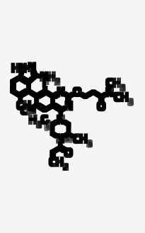 C=CC(=O)N1C[C@H](C)N(c2nc(OCCC(=O)N(C)C)nc3c(F)c(-c4c(C)ccc5[nH]nc(N)c45)c(Cl)cc23)C[C@H]1C